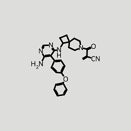 C=C(C#N)C(=O)N1CCC2(CCC2Nc2ncnc(N)c2-c2ccc(Oc3ccccc3)cc2)CC1